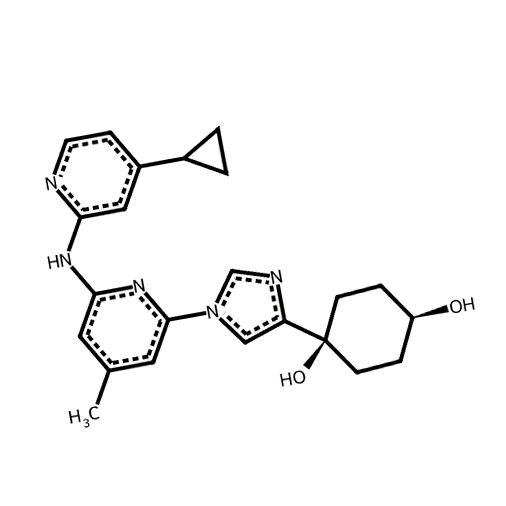 Cc1cc(Nc2cc(C3CC3)ccn2)nc(-n2cnc([C@]3(O)CC[C@@H](O)CC3)c2)c1